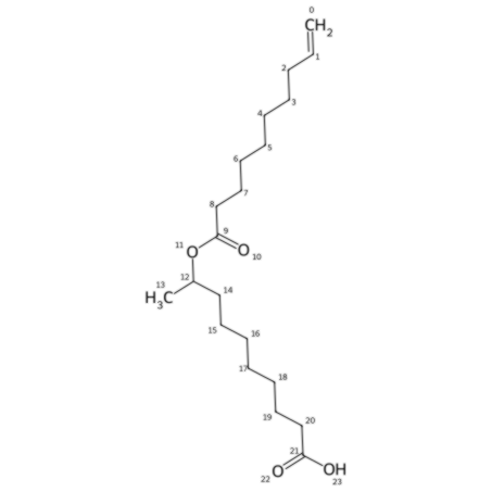 C=CCCCCCCCC(=O)OC(C)CCCCCCCC(=O)O